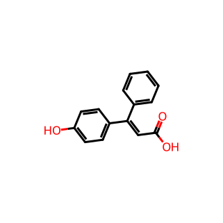 O=C(O)/C=C(\c1ccccc1)c1ccc(O)cc1